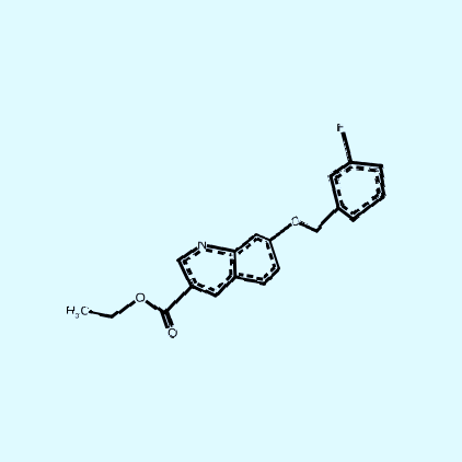 CCOC(=O)c1cnc2cc(OCc3cccc(F)c3)ccc2c1